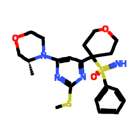 CSc1nc(N2CCOC[C@H]2C)cc(C2(S(=N)(=O)c3ccccc3)CCOCC2)n1